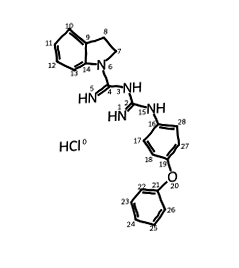 Cl.N=C(NC(=N)N1CCc2ccccc21)Nc1ccc(Oc2ccccc2)cc1